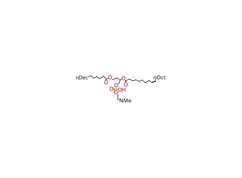 CCCCCCCC/C=C\CCCCCCCC(=O)O[C@H](CCOC(=O)CCCCCCCCCCCCCCC)COP(=O)(O)OCCNC